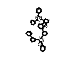 c1ccc(-c2cccc(-c3nc(-c4cccc(-c5cccc6c5sc5cccc(-c7nc(-c8ccccc8)nc(-c8ccccc8)n7)c56)c4)nc4c3oc3ccccc34)c2)cc1